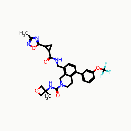 Cc1noc(C2CC2C(=O)NCc2ccc(-c3cccc(OC(F)(F)F)c3)c3c2CN(C(=O)NC2(C)COC2)CC3)n1